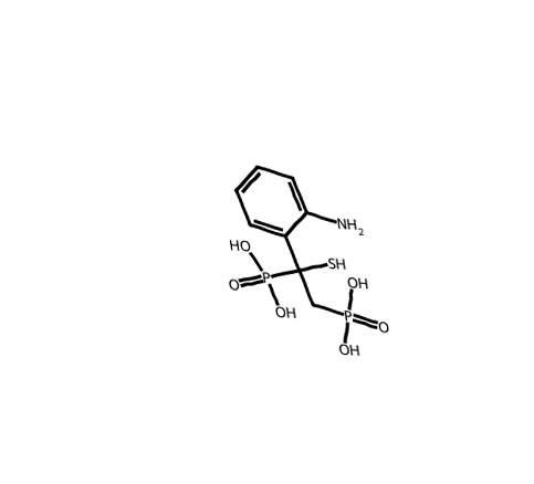 Nc1ccccc1C(S)(CP(=O)(O)O)P(=O)(O)O